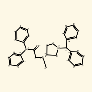 CN(CC(=O)N(c1ccccc1)c1ccccc1)[C@@H]1CCN(C(c2ccccc2)c2ccccc2)C1